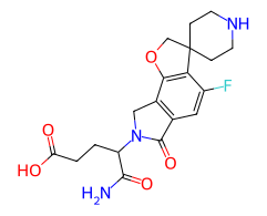 NC(=O)C(CCC(=O)O)N1Cc2c(cc(F)c3c2OCC32CCNCC2)C1=O